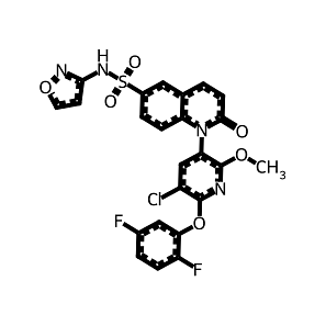 COc1nc(Oc2cc(F)ccc2F)c(Cl)cc1-n1c(=O)ccc2cc(S(=O)(=O)Nc3ccon3)ccc21